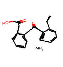 CCc1ccccc1C(=O)c1ccccc1C(=O)O.[AlH3]